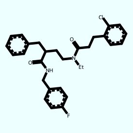 CCN(CCC(Cc1ccccc1)C(=O)NCc1ccc(F)cc1)C(=O)CCc1ccccc1Cl